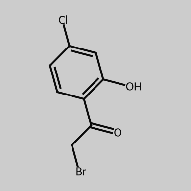 O=C(CBr)c1ccc(Cl)cc1O